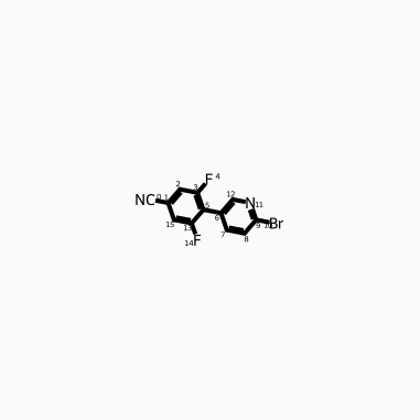 N#Cc1cc(F)c(-c2ccc(Br)nc2)c(F)c1